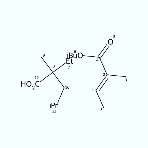 CC=C(C)C(=O)OCC(C)C.CCC(C)(CC(C)C)C(=O)O